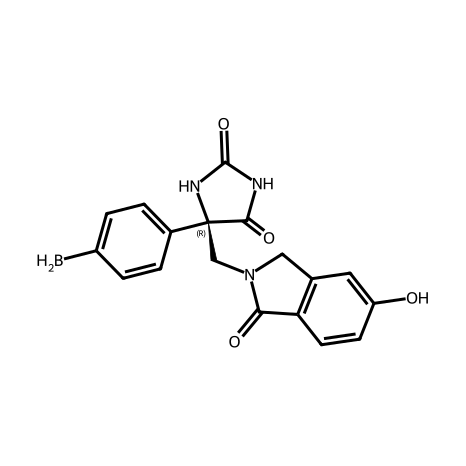 Bc1ccc([C@]2(CN3Cc4cc(O)ccc4C3=O)NC(=O)NC2=O)cc1